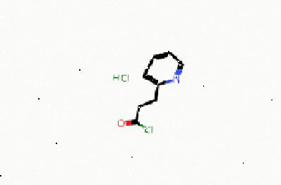 Cl.O=C(Cl)CCc1ccccn1